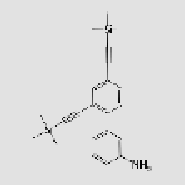 C[Si](C)(C)C#Cc1ccc(-c2cccc(N)c2)c(C#C[Si](C)(C)C)c1